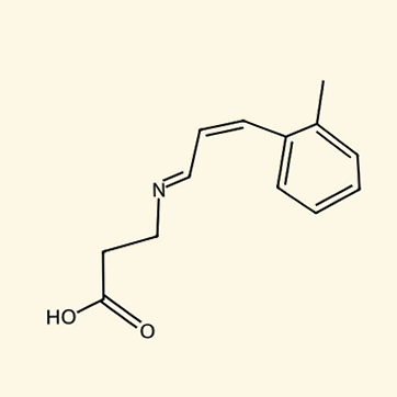 Cc1ccccc1/C=C\C=N\CCC(=O)O